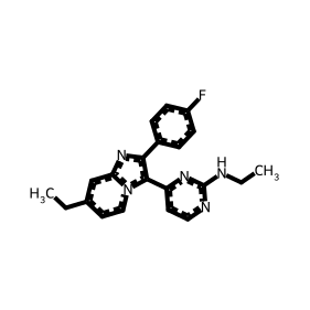 CCNc1nccc(-c2c(-c3ccc(F)cc3)nc3cc(CC)ccn23)n1